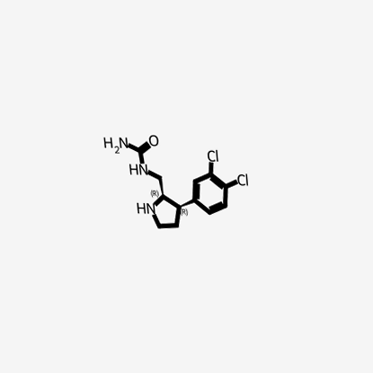 NC(=O)NC[C@@H]1NCC[C@@H]1c1ccc(Cl)c(Cl)c1